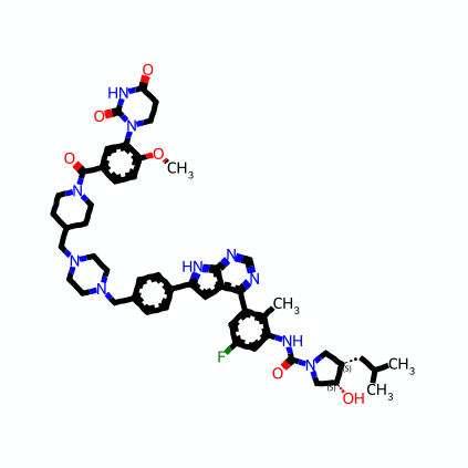 COc1ccc(C(=O)N2CCC(CN3CCN(Cc4ccc(-c5cc6c(-c7cc(F)cc(NC(=O)N8C[C@H](CC(C)C)[C@H](O)C8)c7C)ncnc6[nH]5)cc4)CC3)CC2)cc1N1CCC(=O)NC1=O